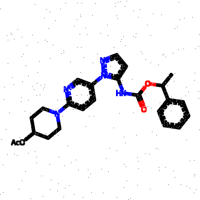 CC(=O)OC1CCN(c2ccc(-n3nccc3NC(=O)OC(C)c3ccccc3)cn2)CC1